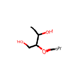 CCCOC(CO)C(C)O